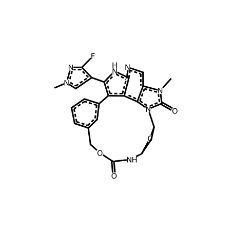 Cn1cc(-c2[nH]c3ncc4c5c3c2-c2cccc(c2)COC(=O)NC2CC(C2)n5c(=O)n4C)c(F)n1